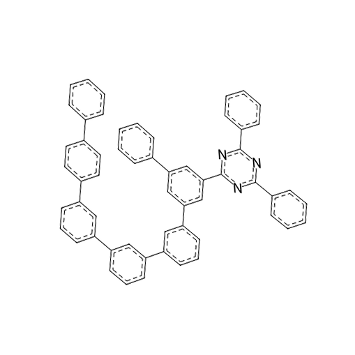 c1ccc(-c2ccc(-c3cccc(-c4cccc(-c5cccc(-c6cc(-c7ccccc7)cc(-c7nc(-c8ccccc8)nc(-c8ccccc8)n7)c6)c5)c4)c3)cc2)cc1